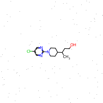 CC(CCO)C1CCN(c2ncc(Cl)cn2)CC1